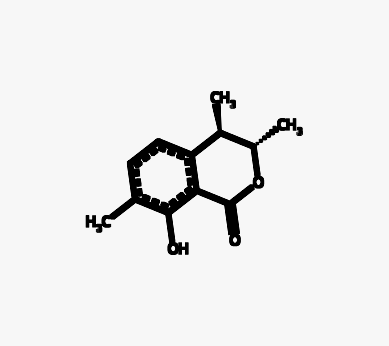 Cc1ccc2c(c1O)C(=O)O[C@@H](C)[C@@H]2C